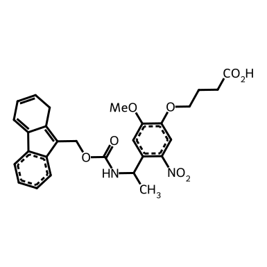 COc1cc(C(C)NC(=O)OCC2=C3CC=CC=C3c3ccccc32)c([N+](=O)[O-])cc1OCCCC(=O)O